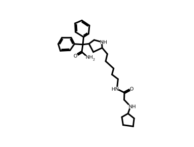 NC(=O)C(c1ccccc1)(c1ccccc1)C1CNC(CCCCCNC(=O)CNC2CCCC2)C1